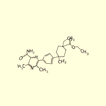 CCOC(=O)C1(CC)CCC(C)(c2ccc(-c3nc(C(N)=O)c(C)nc3C)cc2)CC1